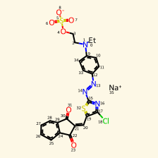 CCN(CCOS(=O)(=O)[O-])c1ccc(N=Nc2nc(Cl)c(C=C3C(=O)c4ccccc4C3=O)s2)cc1.[Na+]